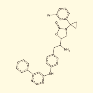 CC(C)c1cccc(C2(N3CC(C(N)Cc4ccc(Nc5cc(-c6ccccc6)ncn5)cc4)OC3=O)CC2)c1